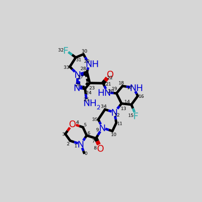 CN1CCOCC1C(=O)N1CCN(C2C(F)CNCC2NC(=O)c2c(N)nn3c2NCC(F)C3)CC1